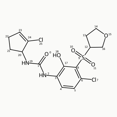 O=C(Nc1ccc(Cl)c(S(=O)(=O)C2CCOC2)c1O)NC1CCC=C1Cl